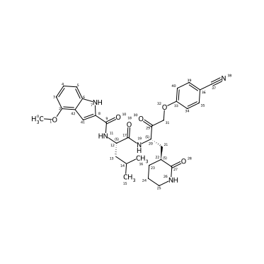 COc1cccc2[nH]c(C(=O)N[C@@H](CC(C)C)C(=O)N[C@@H](C[C@@H]3CCCNC3=O)C(=O)COc3ccc(C#N)cc3)cc12